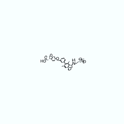 Cc1cc2c(c(C)c1-c1cccc(COc3ccc4c(c3)OC[C@H]4CC(=O)O)c1)C(NCCCS(C)(=O)=O)CO2